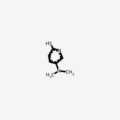 CN(C)c1ccc(S)nc1